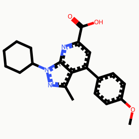 COc1ccc(-c2cc(C(=O)O)nc3c2c(C)nn3C2CCCCC2)cc1